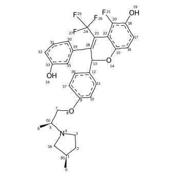 C[C@@H]1CCN([C@@H](C)COc2ccc(C3Oc4ccc(O)c(F)c4C(C(F)(F)F)=C3c3cccc(O)c3)cc2)C1